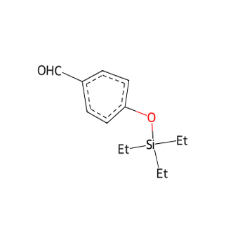 CC[Si](CC)(CC)Oc1ccc(C=O)cc1